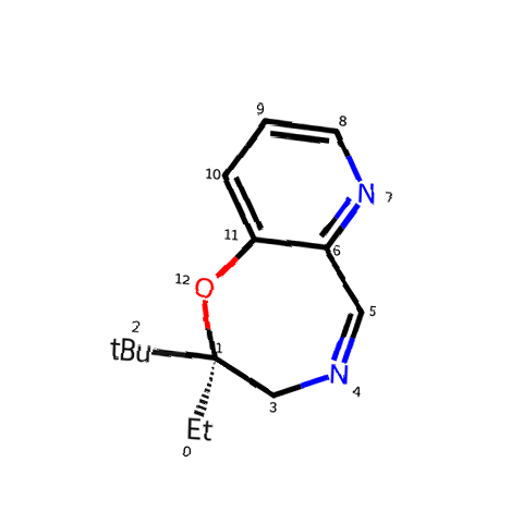 CC[C@@]1(C(C)(C)C)CN=Cc2ncccc2O1